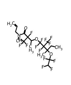 C=CCN(C)C(=O)C(F)(C(C)OC(F)(F)C(F)(C(F)(F)F)C(C)(CC)OC(F)(F)C(F)F)C(F)(F)F